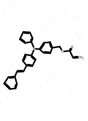 C=CC(=O)OCc1ccc(N(c2ccccc2)c2ccc(C=Cc3ccccc3)cc2)cc1